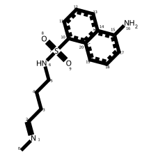 CN=CCCCNS(=O)(=O)c1cccc2c(N)cccc12